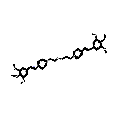 COc1cc(/C=C/c2cc[n+](CCSSCC[n+]3ccc(/C=C/c4cc(OC)c(OC)c(OC)c4)cc3)cc2)cc(OC)c1OC